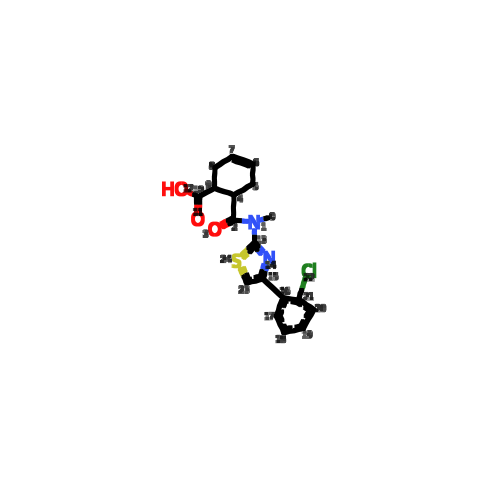 CN(C(=O)C1CC=CCC1C(=O)O)c1nc(-c2ccccc2Cl)cs1